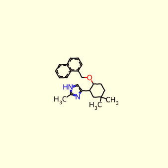 Cc1nc(C2CC(C)(C)CCC2OCc2cccc3ccccc23)c[nH]1